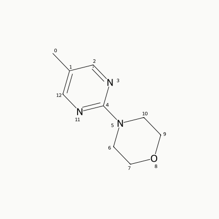 Cc1[c]nc(N2CCOCC2)nc1